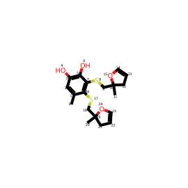 Cc1cc(O)c(O)c(SCC2(C)CC=CO2)c1SCC1(C)CC=CO1